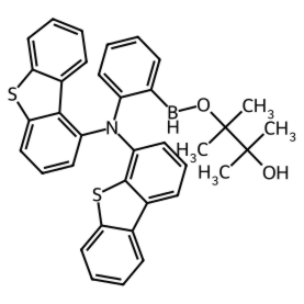 CC(C)(O)C(C)(C)OBc1ccccc1N(c1cccc2c1sc1ccccc12)c1cccc2sc3ccccc3c12